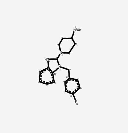 CNC1CCN(C2Nc3ccccc3N2Cc2ccc(F)cc2)CC1